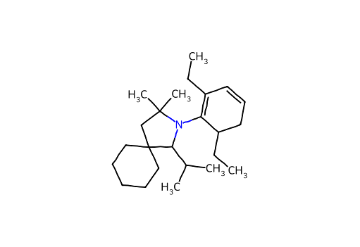 CCC1=C(N2C(C(C)C)C3(CCCCC3)CC2(C)C)C(CC)CC=C1